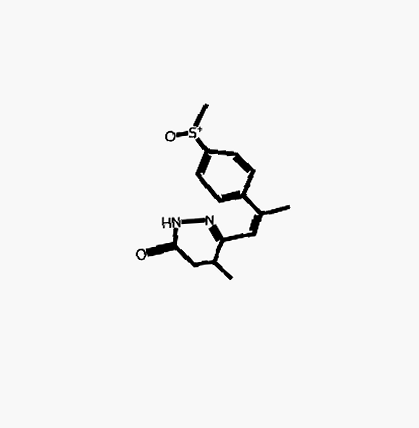 CC(=CC1=NNC(=O)CC1C)c1ccc([S+](C)[O-])cc1